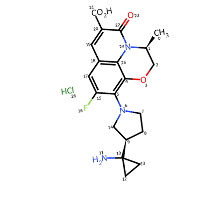 C[C@H]1COc2c(N3CC[C@@H](C4(N)CC4)C3)c(F)cc3cc(C(=O)O)c(=O)n1c23.Cl